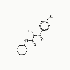 CC(C)(C)c1ccc(C(=O)N(S)C(=O)NC2CCCCC2)cc1